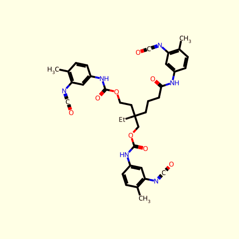 CCC(CCCC(=O)Nc1ccc(C)c(N=C=O)c1)(CCOC(=O)Nc1ccc(C)c(N=C=O)c1)COC(=O)Nc1ccc(C)c(N=C=O)c1